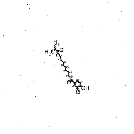 C=C(C)C(=O)OCCCCCCCCOC(=O)c1ccc(O)c(Cl)c1